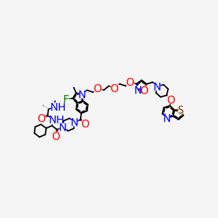 CN[C@@H](C)C(=O)N[C@H](C(=O)N1CCN(C(=O)c2ccc3c(c2)c(F)c(C)n3CCOCCOCCOc2cc(CN3CCC(Oc4ccnc5ccsc45)CC3)on2)CC1)C1CCCCC1